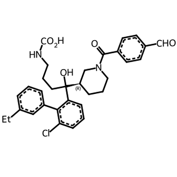 CCc1cccc(-c2c(Cl)cccc2C(O)(CCCNC(=O)O)[C@@H]2CCCN(C(=O)c3ccc(C=O)cc3)C2)c1